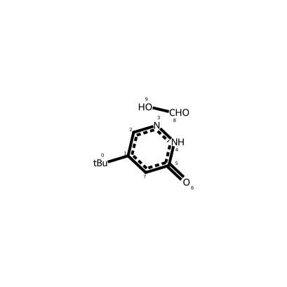 CC(C)(C)c1cn[nH]c(=O)c1.O=CO